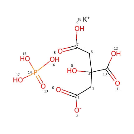 O=C([O-])CC(O)(CC(=O)O)C(=O)O.O=P(O)(O)O.[K+]